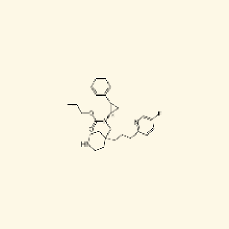 C=CCOC(=O)N(CC1(CCCc2ccc(F)cn2)CCNCC1)[C@@H]1CC1c1ccccc1